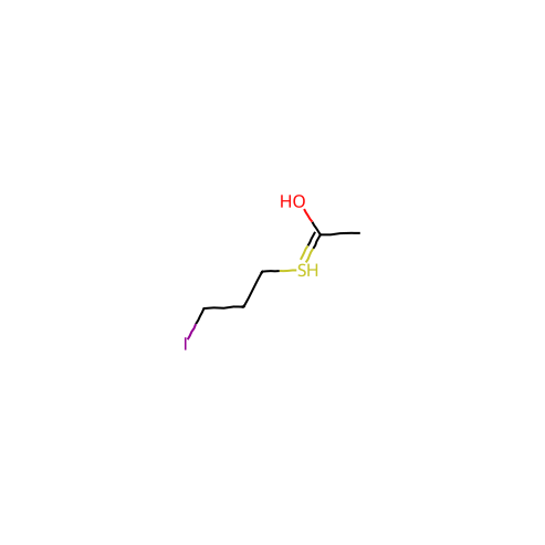 CC(O)=[SH]CCCI